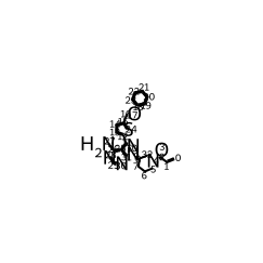 C=CC(=O)N1CCCC(n2nc(-c3ccc(COc4ccccc4)s3)c3c(N)ncnc32)C1